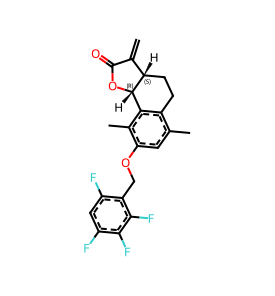 C=C1C(=O)O[C@H]2c3c(C)c(OCc4c(F)cc(F)c(F)c4F)cc(C)c3CC[C@@H]12